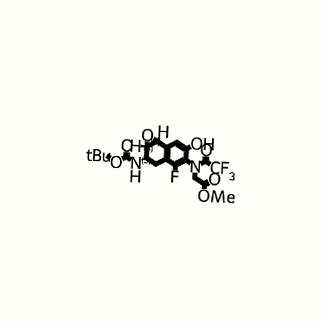 COC(=O)CN(C(=O)C(F)(F)F)c1c(O)cc2c(c1F)C[C@H](NC(=O)OC(C)(C)C)[C@@H]1O[C@H]21